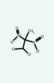 CC(C(Cl)Cl)([N+](=O)[O-])[N+](=O)[O-]